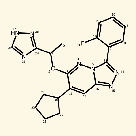 CC(Oc1nn2c(-c3ccccc3F)nnc2cc1C1CCCC1)c1nc[nH]n1